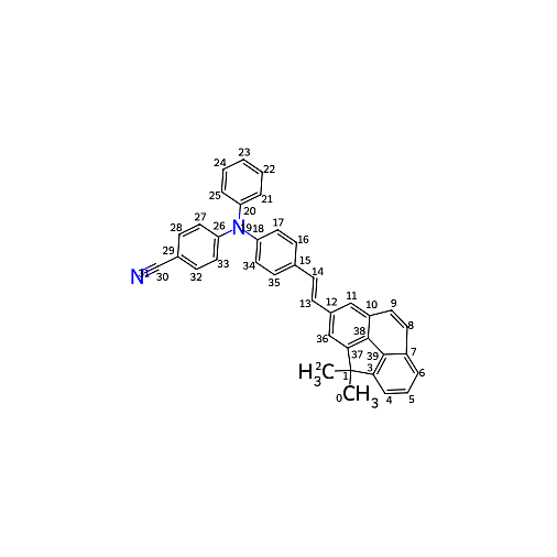 CC1(C)c2cccc3ccc4cc(/C=C/c5ccc(N(c6ccccc6)c6ccc(C#N)cc6)cc5)cc1c4c23